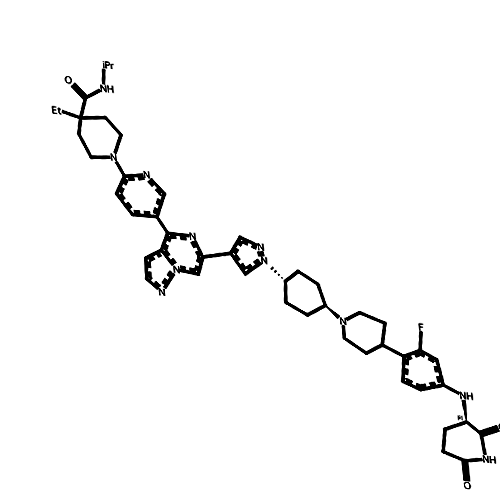 CCC1(C(=O)NC(C)C)CCN(c2ccc(-c3nc(-c4cnn([C@H]5CC[C@H](N6CCC(c7ccc(N[C@@H]8CCC(=O)NC8=O)cc7F)CC6)CC5)c4)cn4nccc34)cn2)CC1